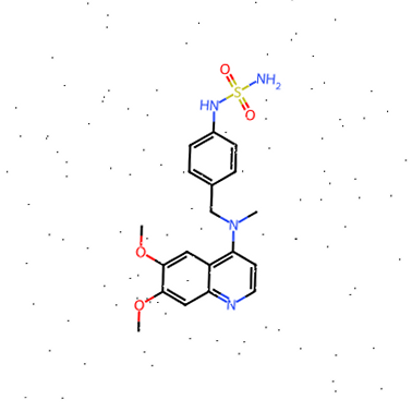 COc1cc2nccc(N(C)Cc3ccc(NS(N)(=O)=O)cc3)c2cc1OC